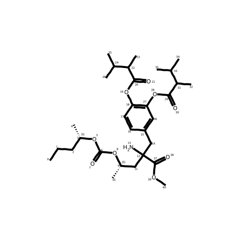 CCC[C@H](C)OC(=O)O[C@@H](C)CC(N)(Cc1ccc(OC(=O)C(C)C(C)C)c(OC(=O)C(C)C(C)C)c1)C(=O)OC